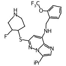 CC(C)c1cnc2c(NCc3ccccc3OC(F)(F)F)cc(SC3CCNCC3F)nn12